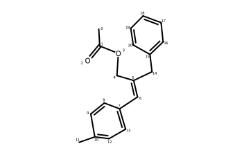 CC(=O)OC/C(=C\c1ccc(C)cc1)Cc1ccccc1